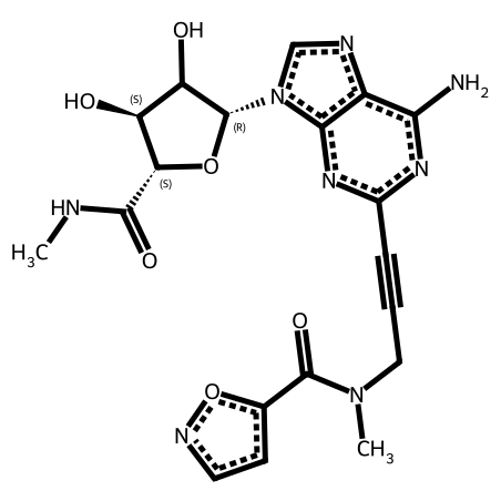 CNC(=O)[C@H]1O[C@@H](n2cnc3c(N)nc(C#CCN(C)C(=O)c4ccno4)nc32)C(O)[C@@H]1O